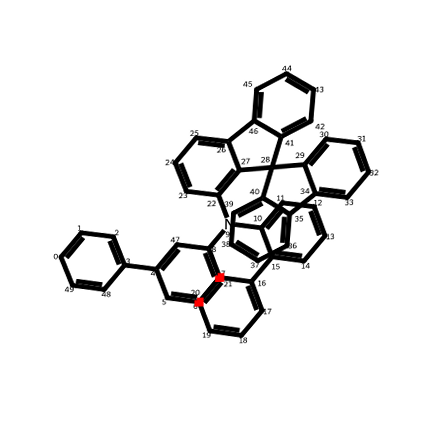 c1ccc(-c2cccc(N(c3ccccc3-c3ccccc3)c3cccc4c3C3(c5ccccc5-c5ccccc53)c3ccccc3-4)c2)cc1